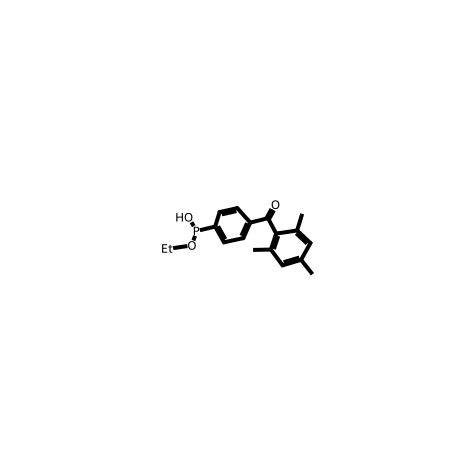 CCOP(O)c1ccc(C(=O)c2c(C)cc(C)cc2C)cc1